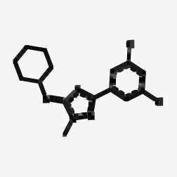 Cn1nc(-c2cc(Cl)cc(Cl)c2)sc1=NC1CCCCC1